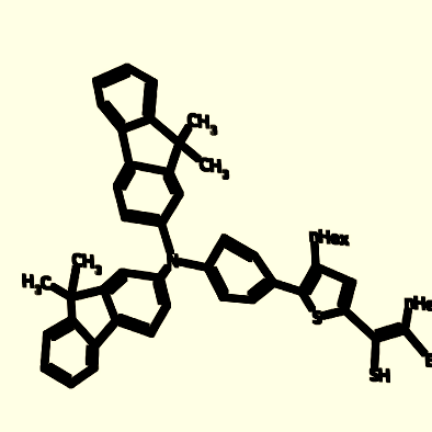 CCCCCC/C(CC)=C(/S)c1cc(CCCCCC)c(-c2ccc(N(c3ccc4c(c3)C(C)(C)c3ccccc3-4)c3ccc4c(c3)C(C)(C)c3ccccc3-4)cc2)s1